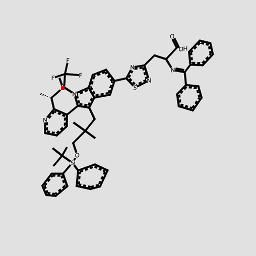 CO[C@@H](C)c1ncccc1-c1c(CC(C)(C)CO[Si](c2ccccc2)(c2ccccc2)C(C)(C)C)c2cc(-c3nc(CC(N=C(c4ccccc4)c4ccccc4)C(=O)O)ns3)ccc2n1CC(F)(F)F